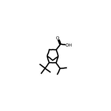 CC(C)C1C2CC(CC2C(=O)O)C1C(C)(C)C